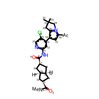 CNC(=O)[C@@H]1C[C@@H]2C[C@H](C(=O)Nc3cc(-c4cc(C(C)=O)n5c4CC(C)(C)C5)c(Cl)cn3)C[C@@H]2C1